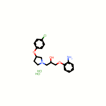 Cl.Cl.Nc1ccccc1OCC(O)CN1CCC(Oc2ccc(Cl)cc2)C1